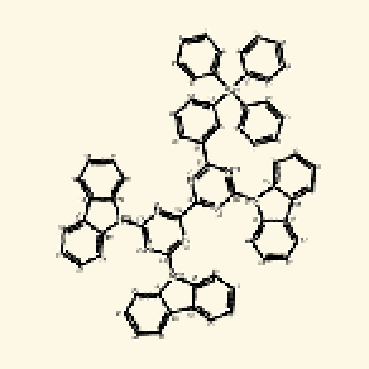 c1ccc([Si](c2ccccc2)(c2ccccc2)c2cccc(-c3nc(-c4nc(-n5c6ccccc6c6ccccc65)nc(-n5c6ccccc6c6ccccc65)n4)nc(-n4c5ccccc5c5ccccc54)n3)c2)cc1